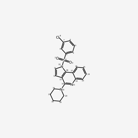 O=S(=O)(c1cccc(Cl)c1)n1ccc2c(N3CCCCC3)nc3ccccc3c21